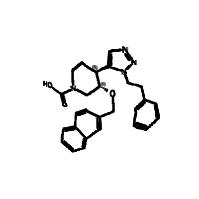 O=C(O)N1CC[C@@H](c2cnnn2CCc2ccccc2)[C@H](OCc2ccc3ccccc3c2)C1